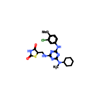 COc1ccc(Nc2nc(NCC3SC(=O)NC3=O)nc(N(C)C3CCCCC3)n2)cc1Cl